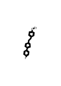 CCOc1ccc(CCc2ccc(-c3ccc(F)cc3)cc2)cc1